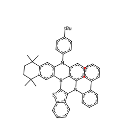 Cc1cc2c3c(c1)N(c1ccccc1-c1ccccc1)c1c(sc4ccccc14)B3c1cc3c(cc1N2c1ccc(C(C)(C)C)cc1)C(C)(C)CCC3(C)C